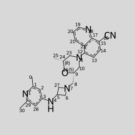 Cc1cc(NC2CN(C[C@H]3CN(c4ccc(C#N)c5ncccc45)C[C@@H](C)O3)C2)cc(C)n1